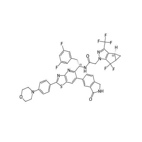 O=C(Cn1nc(C(F)(F)F)c2c1C(F)(F)C1C[C@H]21)N[C@@H](Cc1cc(F)cc(F)c1)c1nc2nc(-c3ccc(N4CCOCC4)cc3)sc2cc1-c1ccc2c(c1)C(=O)NC2